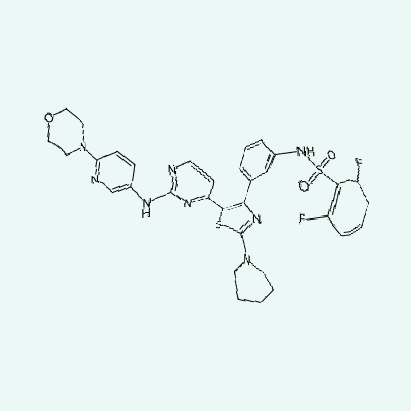 O=S(=O)(Nc1cccc(-c2nc(N3CCCCC3)sc2-c2ccnc(Nc3ccc(N4CCOCC4)nc3)n2)c1)C1=C(F)C=CCC1F